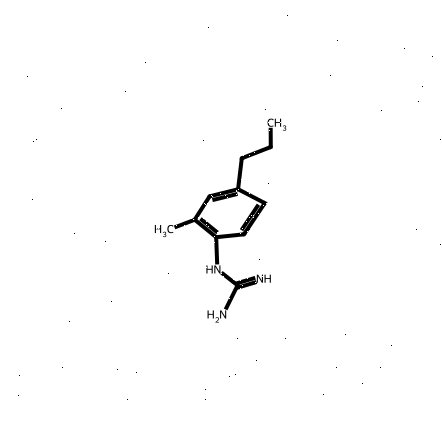 CCCc1ccc(NC(=N)N)c(C)c1